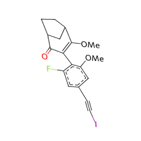 COC1=C(c2c(F)cc(C#CI)cc2OC)C(=O)C2CCC1C2